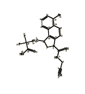 C#CCNC(=N)N1CC(C)c2c1ccc1c(Br)cccc21.O=C(O)C(F)(F)F